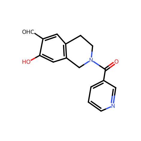 O=Cc1cc2c(cc1O)CN(C(=O)c1cccnc1)CC2